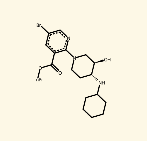 CCCOC(=O)c1cc(Br)cnc1N1CC[C@@H](NC2CCCCC2)[C@H](O)C1